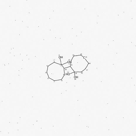 OC1(O)CCCCCCCC1C1CCCCCCCC1(O)O